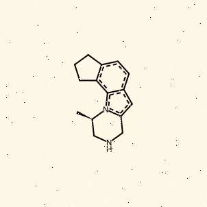 C[C@@H]1CNCc2cc3ccc4c(c3n21)CCC4